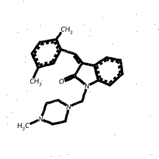 Cc1ccc(C)c(/C=C2\C(=O)N(CN3CCN(C)CC3)c3ccccc32)c1